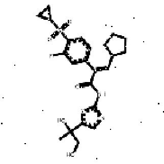 CC(O)(CO)c1csc(NC(=O)/C(=C/C2CCCC2)c2ccc(S(=O)(=O)C3CC3)c(F)c2)n1